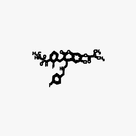 CNS(=O)(=O)Nc1cccc(Cc2c(CNCc3ccc(F)cc3)c3cc(Cl)c(OC(=O)N(C)C)cc3oc2=O)c1F